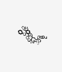 CC(C)(C)OC(=O)CCC(C(N)=O)N1Cc2ccc(CO)c(Oc3ccccc3)c2C1=O